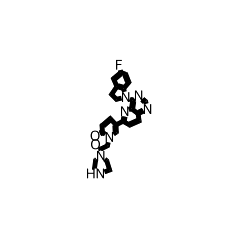 O=C(Cn1cc(-c2ccc3ncnc(N4CCc5cc(F)ccc54)c3n2)ccc1=O)N1CCNCC1